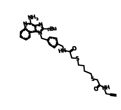 C#CCNC(=O)CSCCCCSCC(=O)NCc1ccc(Cn2c(CCCC)nc3c(N)nc4ccccc4c32)cc1